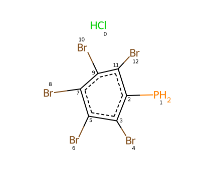 Cl.Pc1c(Br)c(Br)c(Br)c(Br)c1Br